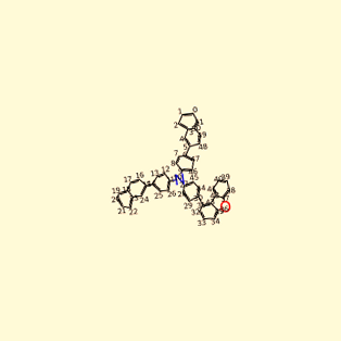 c1ccc2cc(-c3ccc(N(c4ccc(-c5ccc6ccccc6c5)cc4)c4ccc(-c5cccc6oc7ccccc7c56)cc4)cc3)ccc2c1